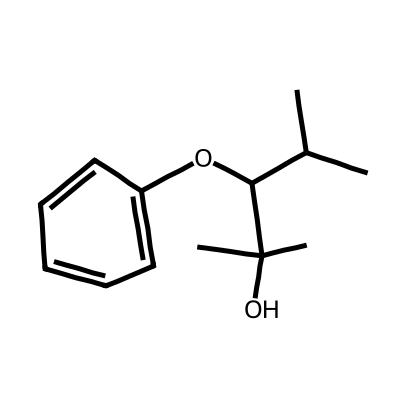 CC(C)C(Oc1ccccc1)C(C)(C)O